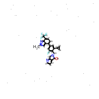 Cn1cc2c(-c3cc(F)c(CN4Cc5ncccc5C4=O)c(C4CC4)c3)ccc(C(F)(F)F)c2n1